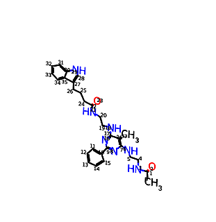 CC(=O)NCCNc1nc(-c2ccccc2)nc(NCCNC(=O)CCCc2c[nH]c3ccccc23)c1C